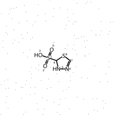 O=S(=O)(O)C1NN=[C]S1